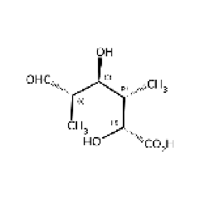 C[C@@H]([C@H](O)[C@H](C)C=O)[C@@H](O)C(=O)O